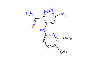 COc1ccc(Nc2cc(N)nnc2C(N)=O)nc1OC